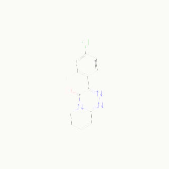 O=c1c(-c2ccc(Cl)cc2F)nnc2n1CCC=C2